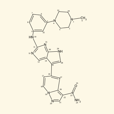 CN1CCN(c2cccc(Nc3ncc4c(-c5ccn6ncc(C(N)=O)c6c5)c[nH]c4n3)c2)CC1